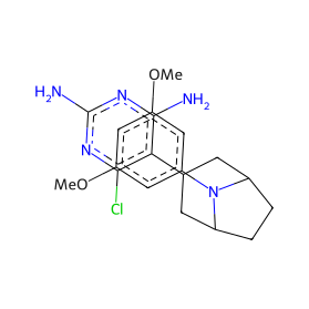 COc1cc(OC)cc(N2C3CCC2CC(c2c(N)nc(N)nc2Cl)C3)c1